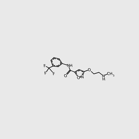 CNCCOc1cc(C(=O)Nc2cccc(C(F)(F)F)c2)on1